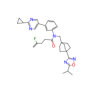 C=C(F)CCC(=O)N(CC12CCC(c3noc(C(C)C)n3)(CC1)CC2)c1cccc(-c2cnc(C3CC3)nc2)c1